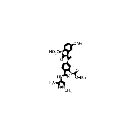 COc1ccc2c(c1)[C@]1(C[C@H]1c1ccc3c(Nc4cn(C)nc4C(F)(F)F)nn(C(=O)OC(C)(C)C)c3c1)C(=O)N2C(=O)O